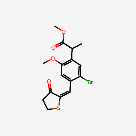 COC(=O)C(C)c1cc(Br)c(C=C2SCCC2=O)cc1OC